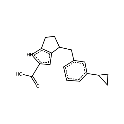 O=C(O)c1cc2c([nH]1)CCC2Cc1cccc(C2CC2)c1